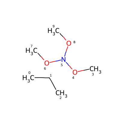 CCC.CON(OC)OC